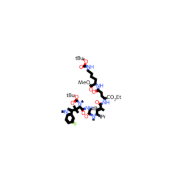 CCOC(=O)C(CCC(=O)NC(CCCCNC(=O)OC(C)(C)C)C(=O)OC)NC(=O)/C(C)=C/C(C(C)C)N(C)C(=O)C(NC(=O)C(N(C)C(=O)OC(C)(C)C)C(C)(C)c1cn(C)c2ccc(F)cc12)C(C)(C)C